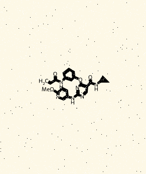 C=CC(=O)Nc1cccc(Oc2nc(Nc3ccc(OC)nc3)ncc2C(=O)NC2CC2)c1